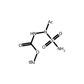 CC(=O)N(NC(=O)OC(C)(C)C)S(N)(=O)=O